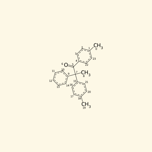 Cc1ccc(C(=O)C(C)(c2ccccc2)c2ccc(C)cc2)cc1